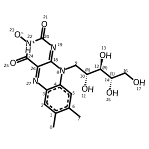 Cc1cc2c(cc1C)N(C[C@@H](O)[C@@H](O)[C@@H](O)CO)C1=NC(=O)[NH+]([O-])C(=O)C1=N2